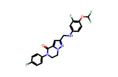 O=C1c2cc(CNc3ccc(OC(F)F)c(F)c3)nn2CCN1c1ccc(F)cc1